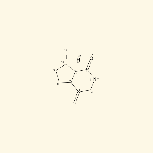 C=C1CNC(=O)[C@H]2C1CC[C@@H]2C